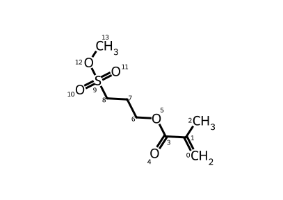 C=C(C)C(=O)OCCCS(=O)(=O)OC